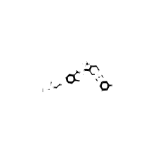 Cc1cc(OCCN(C(C)C)C(C)C)ccc1C(=O)Nc1n[nH]c2c1CN(S(=O)(=O)c1cc(F)cc(F)c1)CC2